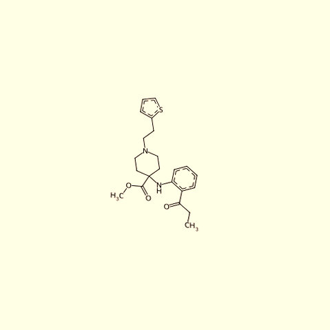 CCC(=O)c1ccccc1NC1(C(=O)OC)CCN(CCc2cccs2)CC1